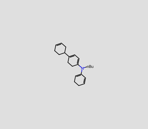 CCCCN(C1=CCCC=C1)C1=CC=C(C2CC=CCC2)CC1